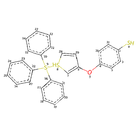 Sc1ccc(OC2=C[SH](S(c3ccccc3)(c3ccccc3)c3ccccc3)C=C2)cc1